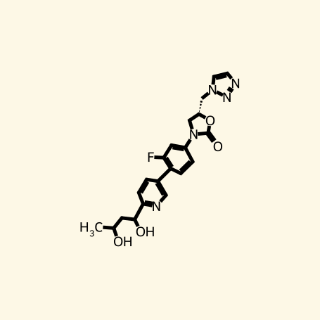 CC(O)CC(O)c1ccc(-c2ccc(N3C[C@H](Cn4ccnn4)OC3=O)cc2F)cn1